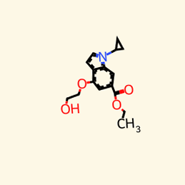 CCOC(=O)c1cc(OCCO)c2ccn(C3CC3)c2c1